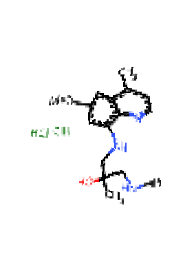 COc1cc(NCC(C)(O)CNC(C)C)c2nccc(C)c2c1.Cl.Cl